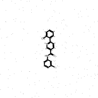 O=C(Nc1cccc(F)c1)c1ccc(-c2ccccc2Cl)nc1